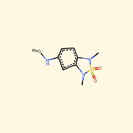 CONc1ccc2c(c1)N(C)S(=O)(=O)N2C